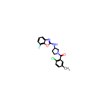 Cc1ccc(Cl)c(C(=O)N2CCC(Nc3nc4cccc(F)c4o3)C2)c1